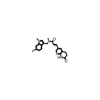 CN(Cc1cn(C)c2cc(F)ccc12)C(=O)/C=C/c1cnc2c(c1)CCC(=O)N2